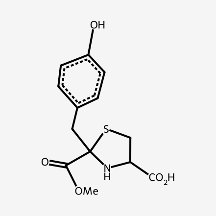 COC(=O)C1(Cc2ccc(O)cc2)NC(C(=O)O)CS1